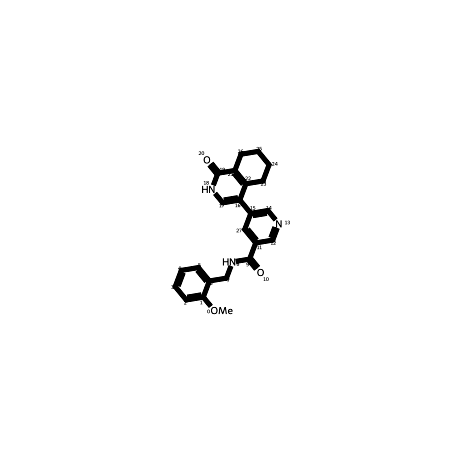 COc1ccccc1CNC(=O)c1cncc(-c2c[nH]c(=O)c3c2CCCC3)c1